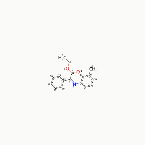 CCOC(=O)C(=Nc1cccc(C)c1)c1ccccc1